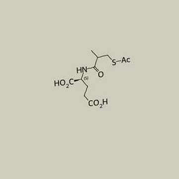 CC(=O)SCC(C)C(=O)N[C@@H](CCC(=O)O)C(=O)O